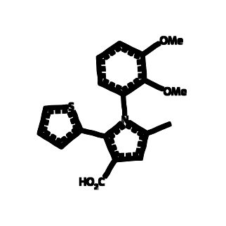 COc1cccc(-n2c(C)cc(C(=O)O)c2-c2cccs2)c1OC